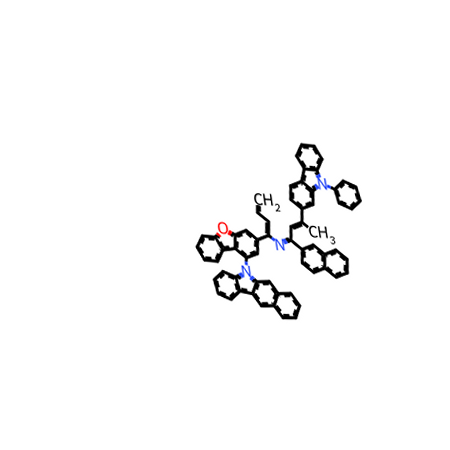 C=C/C=C(/N=C(\C=C(/C)c1ccc2c3ccccc3n(-c3ccccc3)c2c1)c1ccc2ccccc2c1)c1cc(-n2c3ccccc3c3cc4ccccc4cc32)c2c(c1)oc1ccccc12